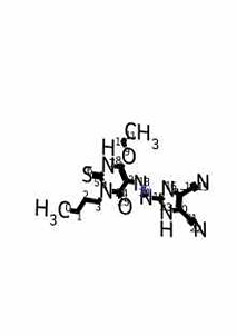 CCCCn1c(=S)[nH]c(OCC)c(/N=N/c2nc(C#N)c(C#N)[nH]2)c1=O